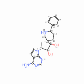 Nc1ncnc2c1ccn2[C@@H]1C[C@]2(CC[C@H](c3ccccc3)NC2)[C@@H](O)[C@H]1O